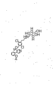 OC[C@@H](O)[C@@H](O)[C@H](O)[C@@H](O)CNCCCCc1cc(Cl)c(COC2(c3cnccc3-c3ccccc3OC3CC3)CC2)cc1Cl